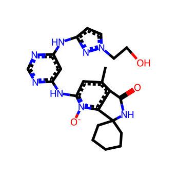 Cc1cc(Nc2cc(Nc3ccn(CCO)n3)ncn2)[n+]([O-])c2c1C(=O)NC21CCCCC1